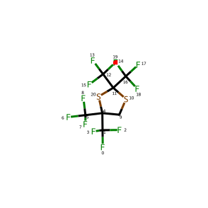 FC(F)(F)C1(C(F)(F)F)CSC(C(F)(F)F)(C(F)(F)F)S1